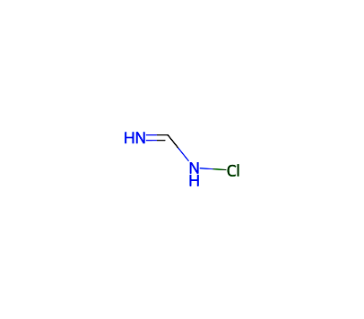 N=CNCl